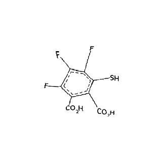 O=C(O)c1c(F)c(F)c(F)c(S)c1C(=O)O